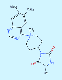 COc1cc2ncnc([N+]3(C)CCC(N4C(=O)NC(C(C)C)C4=O)CC3)c2cc1OC